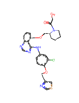 O=C(CO)N1CCCCC1COc1cccc2ncnc(Nc3ccc(OCc4cscn4)c(Cl)c3)c12